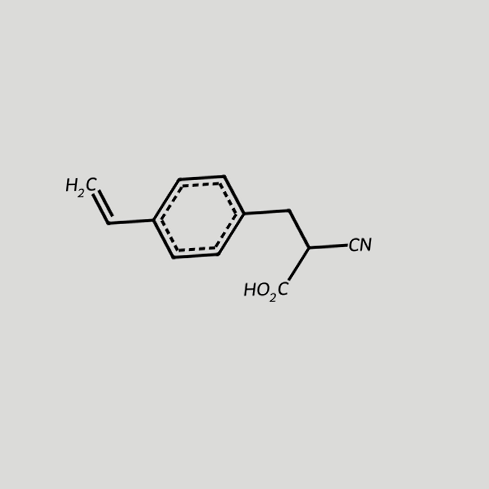 C=Cc1ccc(CC(C#N)C(=O)O)cc1